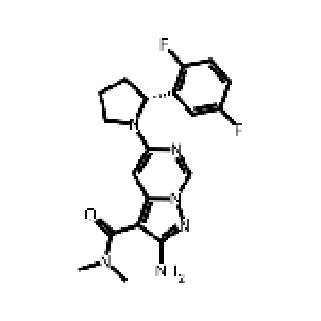 CN(C)C(=O)c1c(N)nn2cnc(N3CCC[C@@H]3c3cc(F)ccc3F)cc12